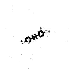 COc1ccc(C(C)(C)C(C)(C)c2ccc(O)c(F)c2)cn1